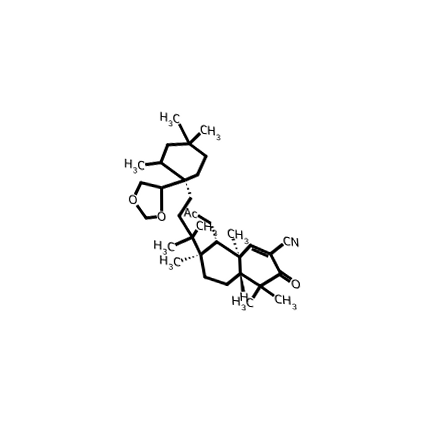 CC(=O)C[C@@H]1[C@@]2(C)C=C(C#N)C(=O)C(C)(C)[C@@H]2CC[C@@]1(C)C(C)(C)CC[C@@]1(C2COCO2)CCC(C)(C)CC1C